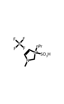 CCC[N+]1(S(=O)(=O)O)C=CN(C)C1.F[B-](F)(F)F